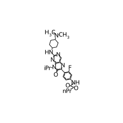 CCCS(=O)(=O)Nc1ccc(-c2nc3cnc(NC4CCC(N(C)C)CC4)nc3n(C(C)C)c2=O)c(F)c1